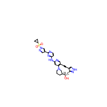 Cc1n[nH]cc1C#Cc1cnc(Nc2ccnc(-c3cnn(S(=O)(=O)C4CC4)c3)n2)cc1N1CCCC(CO)C1